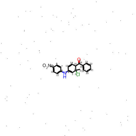 CC1(Cl)C=C(Nc2ccc([N+](=O)[O-])cc2)C=CC1C(=O)c1ccccc1